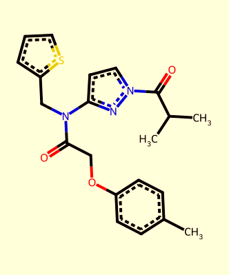 Cc1ccc(OCC(=O)N(Cc2cccs2)c2ccn(C(=O)C(C)C)n2)cc1